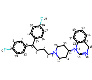 Fc1ccc(C(CCCN2CCC(N3C=NCc4ccccc43)CC2)c2ccc(F)cc2)cc1